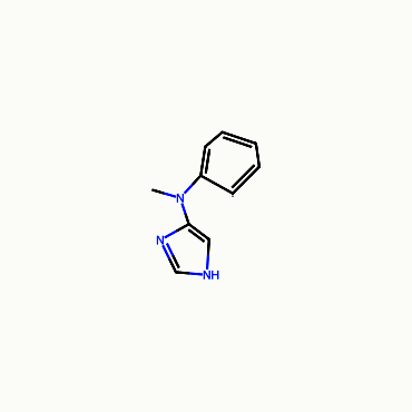 CN(c1[c]cccc1)c1c[nH]cn1